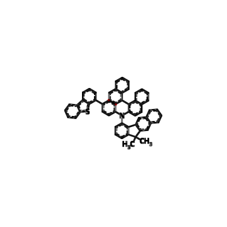 CC1(C)c2cc3ccccc3cc2-c2c(N(c3ccc(-c4cccc5c4sc4ccccc45)cc3)c3ccc4ccccc4c3-c3cccc4ccccc34)cccc21